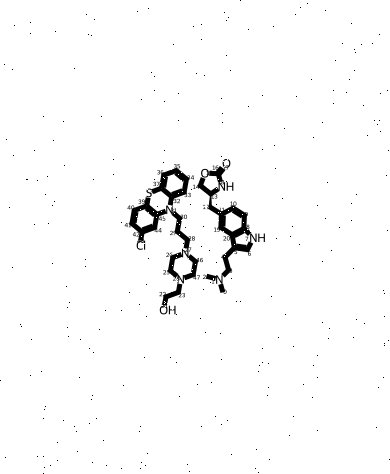 CN(C)CCc1c[nH]c2ccc(C[C@H]3COC(=O)N3)cc12.OCCN1CCN(CCCN2c3ccccc3Sc3ccc(Cl)cc32)CC1